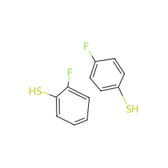 Fc1ccc(S)cc1.Fc1ccccc1S